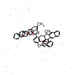 C\C1=C(c2ccc(-c3ccccc3)cc2)/N=C(c2ccc3oc4cc5ccccc5cc4c3c2CC2c3ccccc3-c3cc4ccccc4cc3C2C)\N=C(\c2ccc(-c3ccccc3)cc2)CC1